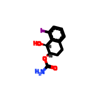 NC(=O)O[C@H]1CCc2cccc(I)c2[C@H]1O